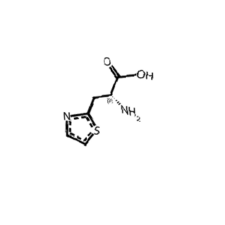 N[C@H](Cc1nccs1)C(=O)O